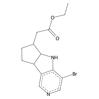 CCOC(=O)CC1CCC2c3cncc(Br)c3NC12